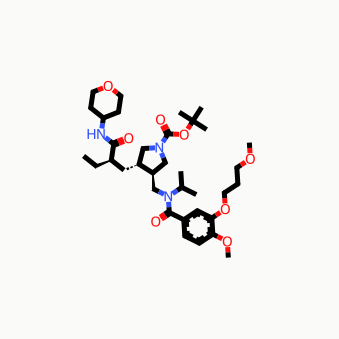 CC[C@H](C[C@@H]1CN(C(=O)OC(C)(C)C)C[C@H]1CN(C(=O)c1ccc(OC)c(OCCCOC)c1)C(C)C)C(=O)NC1CCOCC1